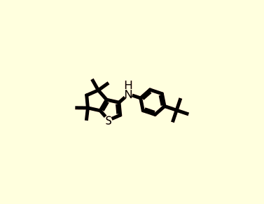 CC(C)(C)c1ccc(Nc2csc3c2C(C)(C)CC3(C)C)cc1